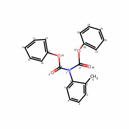 Cc1ccccc1N(C(=O)Oc1ccccc1)C(=O)Oc1ccccc1